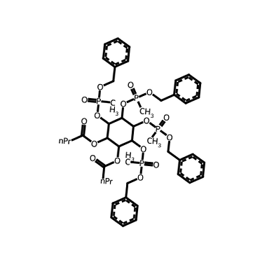 CCCC(=O)OC1C(OC(=O)CCC)C(OP(C)(=O)OCc2ccccc2)C(OP(C)(=O)OCc2ccccc2)C(OP(C)(=O)OCc2ccccc2)C1OP(C)(=O)OCc1ccccc1